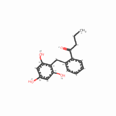 CCCC(=O)c1ccccc1Cc1c(O)cc(O)cc1O